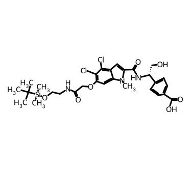 Cn1c(C(=O)N[C@H](CO)c2ccc(C(=O)O)cc2)cc2c(Cl)c(Cl)c(OCC(=O)NCCO[Si](C)(C)C(C)(C)C)cc21